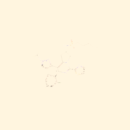 CC(=O)OCCCS(=O)(=O)N[C@H]1CC2=C(c3ccn(C(F)F)n3)[C@H](c3ccc(F)cc3Cl)N=C(c3nccs3)N2C1